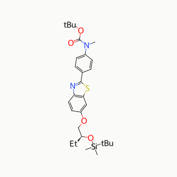 CC[C@@H](COc1ccc2nc(-c3ccc(N(C)C(=O)OC(C)(C)C)cc3)sc2c1)O[Si](C)(C)C(C)(C)C